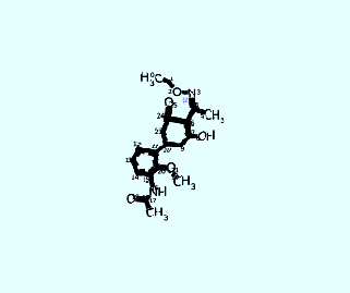 CCO/N=C(/C)C1=C(O)CC(c2cccc(NC(C)=O)c2OC)CC1=O